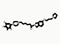 Cc1c(F)c(F)cc(N2CCN(CCCCCC(=O)N3Cc4ccc(OCCCN5CCCC5)cc4C3)CC2)c1F